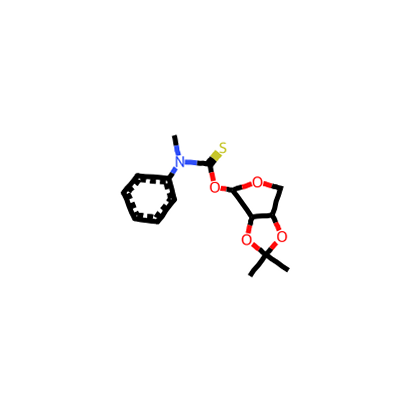 CN(C(=S)OC1OCC2OC(C)(C)OC21)c1ccccc1